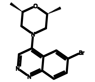 C[C@@H]1CN(c2cnnc3ccc(Br)cc23)C[C@H](C)O1